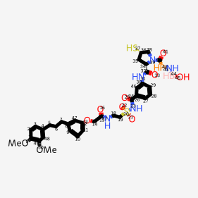 COc1ccc(CCCc2cccc(OCC(=O)NCCS(=O)(=O)NC(=O)c3cccc(NC(=O)[C@@H]4C[C@H](S)CN4C(=O)PNBO)c3)c2)cc1OC